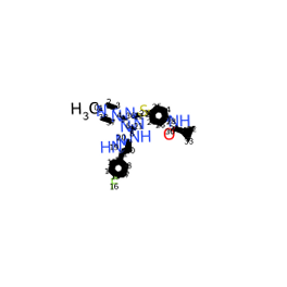 CN1CCN(c2nc(Nc3cc(-c4ccc(F)cc4)[nH]n3)nc(Sc3ccc(NC(=O)C4CC4)cc3)n2)CC1